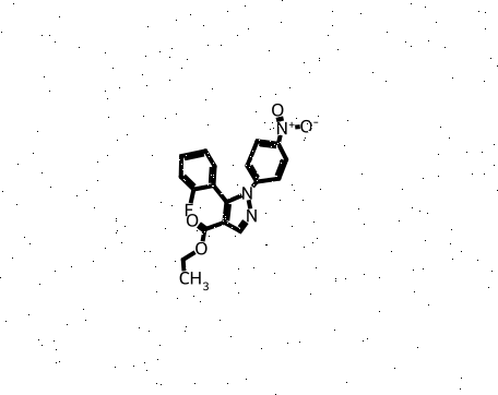 CCOC(=O)c1cnn(-c2ccc([N+](=O)[O-])cc2)c1-c1ccccc1F